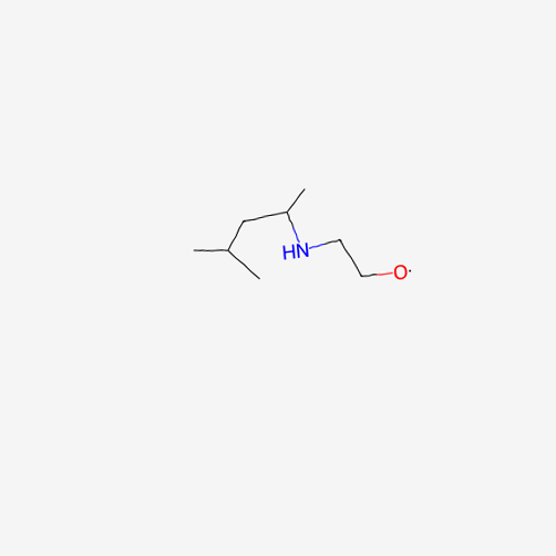 CC(C)CC(C)NCC[O]